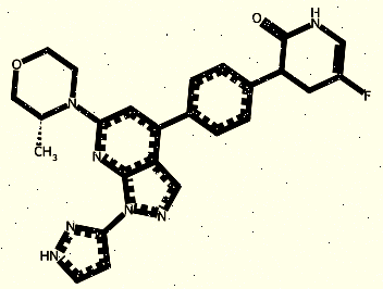 C[C@@H]1COCCN1c1cc(-c2ccc(C3CC(F)=CNC3=O)cc2)c2cnn(-c3cc[nH]n3)c2n1